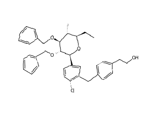 CC[C@H]1O[C@@H](c2ccc(Cl)c(Cc3ccc(CCO)cc3)c2)[C@H](OCc2ccccc2)[C@@H](OCc2ccccc2)[C@@H]1C